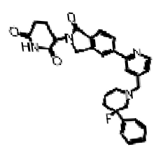 O=C1CCC(N2Cc3cc(-c4cc(CN5CCCC(F)(c6ccccc6)C5)ccn4)ccc3C2=O)C(=O)N1